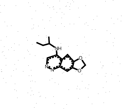 CCC(C)Nc1cnnc2cc3c(cc12)OCO3